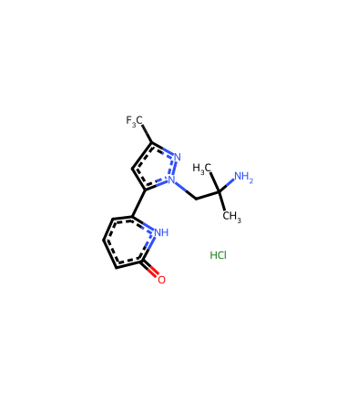 CC(C)(N)Cn1nc(C(F)(F)F)cc1-c1cccc(=O)[nH]1.Cl